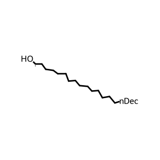 CCCCCCCCCCCCCCCCCCCCCCCC[CH]O